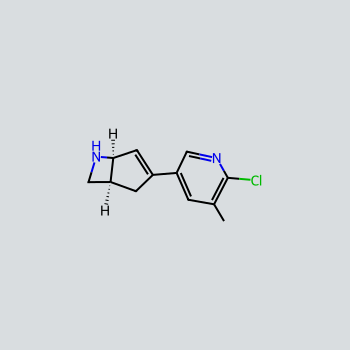 Cc1cc(C2=C[C@@H]3NC[C@@H]3C2)cnc1Cl